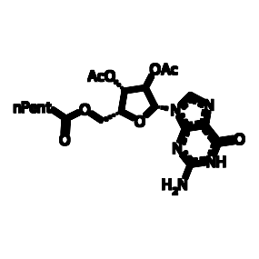 CCCCCC(=O)OC[C@H]1O[C@@H](n2cnc3c(=O)[nH]c(N)nc32)C(OC(C)=O)[C@H]1OC(C)=O